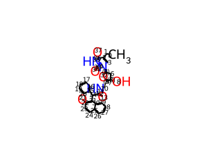 CCc1cn([C@H]2C[C@H](O)[C@@H](CNC(=O)C3c4ccccc4Oc4ccc5ccccc5c43)O2)c(=O)[nH]c1=O